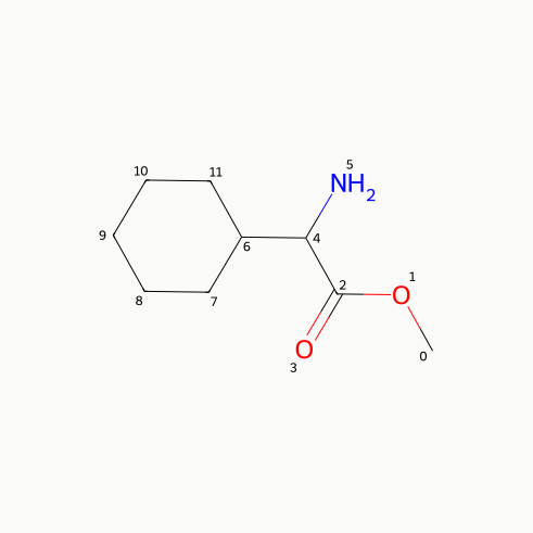 COC(=O)C(N)C1CCCCC1